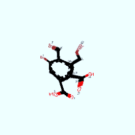 O=C(O)c1cc(Br)c(CBr)c(CBr)c1C(=O)O